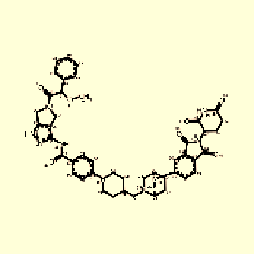 COC(C(=O)N1Cc2[nH]nc(NC(=O)c3ccc(N4CCC(CN5CC6CCC5CN6c5ccc6c(c5)C(=O)N(C5CCC(=O)NC5=O)C6=O)CC4)cc3)c2C1)c1ccccc1